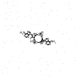 Nc1ncnc2c1ncn2C1O[C@@H]2COP(=O)(S)OC3C(O)[C@@H](COP(=O)(S)OC2C1F)OC3n1cnc2c(N)ncnc21